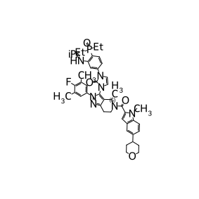 CCP(=O)(CC)c1ccc(-n2ccn(-c3c4c(nn3-c3cc(C)c(F)c(C)c3)CCN(C(=O)c3cc5cc(C6CCOCC6)ccc5n3C)[C@H]4C)c2=O)cc1NC(C)C